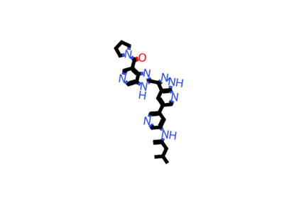 C=C(CC(C)C)Nc1cncc(-c2cnc3[nH]nc(-c4nc5c(C(=O)N6CCCC6)cncc5[nH]4)c3c2)c1